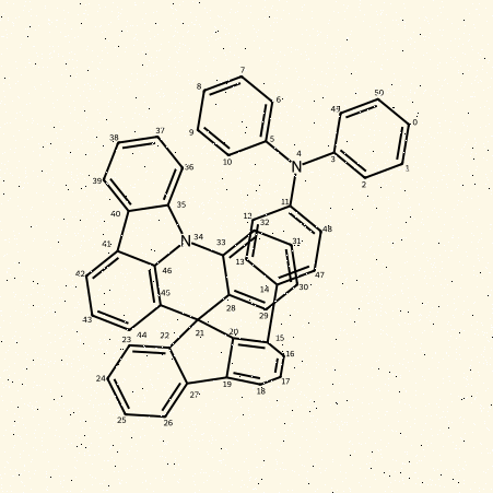 c1ccc(N(c2ccccc2)c2ccc(-c3cccc4c3C3(c5ccccc5-4)c4ccccc4-n4c5ccccc5c5cccc3c54)cc2)cc1